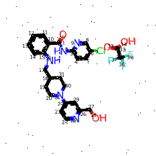 O=C(Nc1ccc(Cl)cn1)c1ccccc1NCC1CCN(c2ccnc(CO)c2)CC1.O=C(O)C(F)(F)F